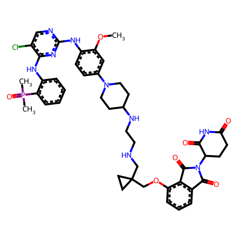 COc1cc(N2CCC(NCCNCC3(COc4cccc5c4C(=O)N(C4CCC(=O)NC4=O)C5=O)CC3)CC2)ccc1Nc1ncc(Cl)c(Nc2ccccc2P(C)(C)=O)n1